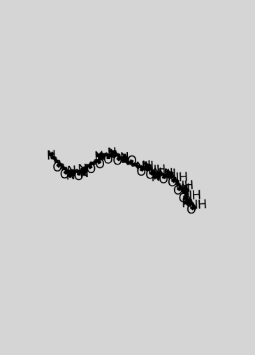 CC(=O)Nc1cc(C(=O)Nc2cc(C(=O)NCCC(=O)Nc3cc(C(=O)Nc4cn(C)c(C(=O)Nc5cc(C(=O)NCCCC(=O)Cc6cc(C(=O)Cc7cc(C(=O)Cc8cc(C(=O)CCCC(=O)Cc9cn(C)c(C(=O)Cc%10cn(C)c(C(=O)CCCC(=O)CCCCN(C)C)n%10)n9)n(C)c8)n(C)c7)n(C)c6)n(C)c5)n4)n(C)c3)n(C)c2)n(C)c1